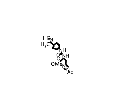 COC(=O)C(Cc1cn(C(C)=O)cn1)NC(=O)Nc1ccc(/C(C)=N/O)cc1